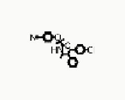 CC(NC(=O)C(C)(C)Oc1ccc(C#N)cc1)C(Cc1ccc(Cl)cc1)c1ccccc1